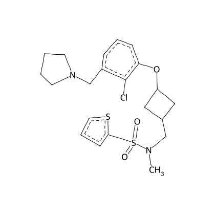 CN(CC1CC(Oc2cccc(CN3CCCC3)c2Cl)C1)S(=O)(=O)c1cccs1